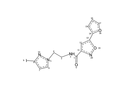 O=C(NCCn1ccc(I)n1)c1cc(-c2ccco2)on1